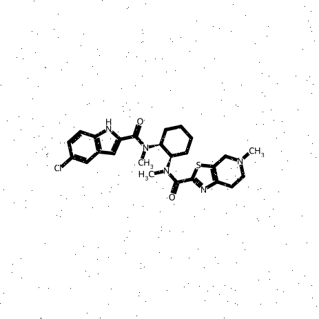 CN1CCc2nc(C(=O)N(C)[C@@H]3CCCC[C@@H]3N(C)C(=O)c3cc4cc(Cl)ccc4[nH]3)sc2C1